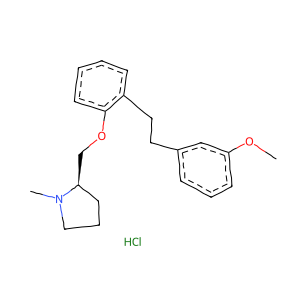 COc1cccc(CCc2ccccc2OC[C@H]2CCCN2C)c1.Cl